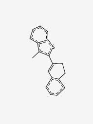 Cc1c(C2=Cc3ccccc3CC2)sc2ccccc12